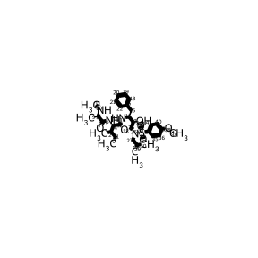 CCC(C)[C@H](NC(=O)[C@@H](C)NC)C(=O)N[C@@H](Cc1ccccc1)[C@H](O)CN(CC(C)C)S(=O)(=O)c1ccc(OC)cc1